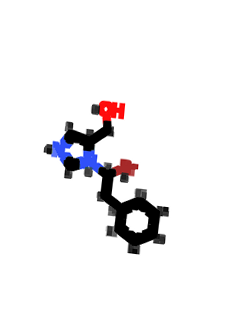 OCc1cncn1C(Br)=Cc1ccccc1